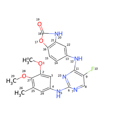 COc1cc(Nc2ncc(F)c(Nc3ccc4oc(=O)[nH]c4c3)n2)cc(C)c1OC